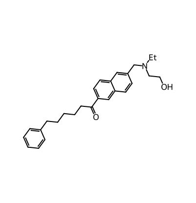 CCN(CCO)Cc1ccc2cc(C(=O)CCCCCc3ccccc3)ccc2c1